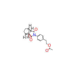 CC(=O)OCCc1ccc(N2C(=O)[C@@H]3[C@H]4CC[C@H](C(=O)C4)[C@@H]3C2=O)cc1